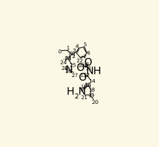 CC[C@@H](c1cccc(OC(=O)NC(=O)C[C@@H](CN)CC(C)C)c1)[C@@H](C)CN(C)C